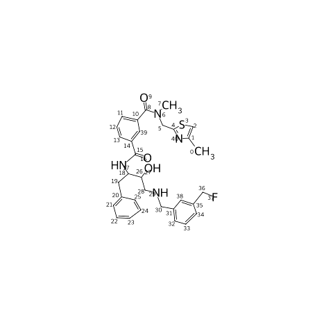 Cc1csc(CN(C)C(=O)c2cccc(C(=O)NC(Cc3ccccc3)C(O)CNCc3cccc(CF)c3)c2)n1